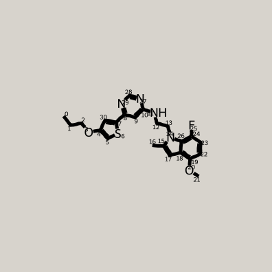 CCCOc1csc(-c2cc(NCCn3c(C)cc4c(OC)ccc(F)c43)ncn2)c1